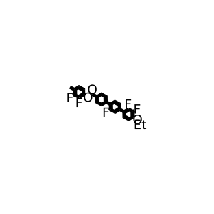 CCOc1ccc(-c2ccc(C3=CCC(C(=O)Oc4ccc(C)c(F)c4F)CC3)c(F)c2)c(F)c1F